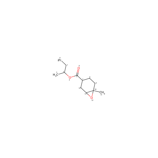 CC(C)CC(C)OC(=O)C1CCC2(C)OC2C1